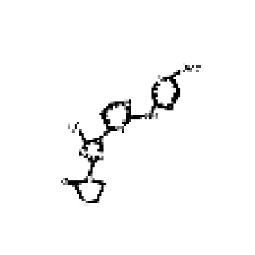 COc1ccc(Nc2nccc(-c3sc(N4CCOC4=O)nc3C)n2)cn1